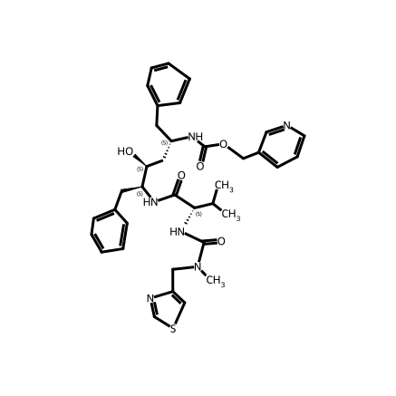 CC(C)[C@H](NC(=O)N(C)Cc1cscn1)C(=O)N[C@@H](Cc1ccccc1)[C@@H](O)C[C@H](Cc1ccccc1)NC(=O)OCc1cccnc1